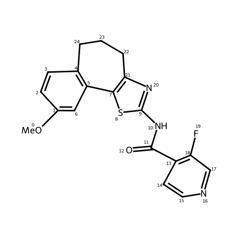 COc1ccc2c(c1)-c1sc(NC(=O)c3ccncc3F)nc1CCC2